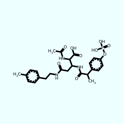 CC(=O)NC(C(=O)O)C(CC(=O)NCCc1ccc(C)cc1)NC(=O)C(C)c1ccc(OP(=O)(O)O)cc1